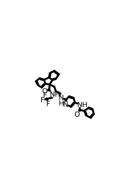 O=C(Nc1ccc(NCCCC2(C(=O)NCC(F)(F)F)c3ccccc3-c3ccccc32)nc1)c1ccccc1